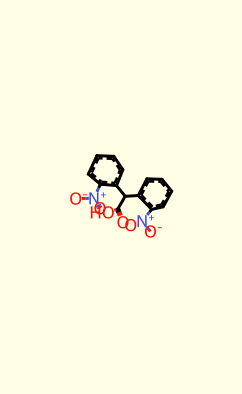 O=C(O)C(c1ccccc1[N+](=O)[O-])c1ccccc1[N+](=O)[O-]